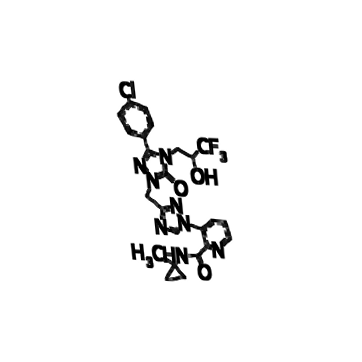 CC1(NC(=O)c2ncccc2-n2cnc(Cn3nc(-c4ccc(Cl)cc4)n(CC(O)C(F)(F)F)c3=O)n2)CC1